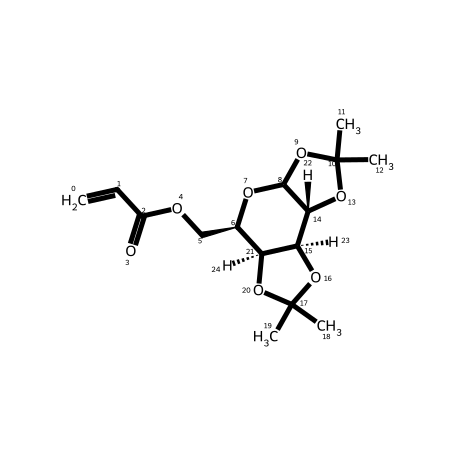 C=CC(=O)OC[C@H]1OC2OC(C)(C)O[C@@H]2[C@H]2OC(C)(C)O[C@H]21